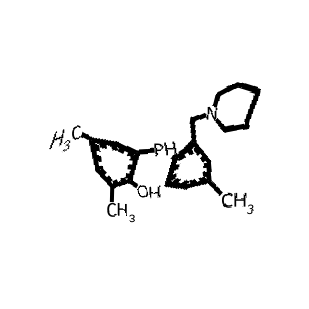 Cc1ccc(Pc2cc(C)cc(C)c2O)c(CN2CCCCC2)c1